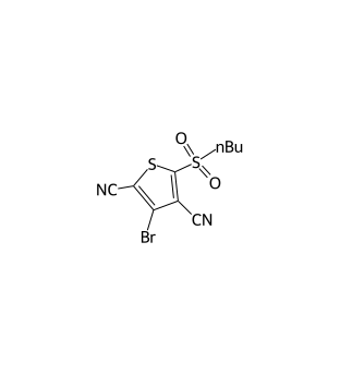 CCCCS(=O)(=O)c1sc(C#N)c(Br)c1C#N